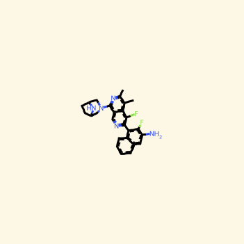 Cc1nc(N2CC3CCC(C2)N3)c2cnc(-c3c(F)c(N)cc4ccccc34)c(F)c2c1C